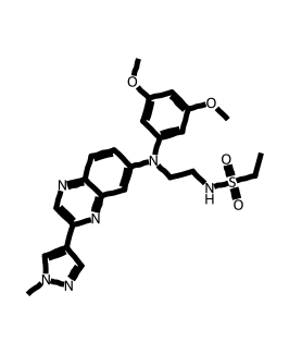 CCS(=O)(=O)NCCN(c1cc(OC)cc(OC)c1)c1ccc2ncc(-c3cnn(C)c3)nc2c1